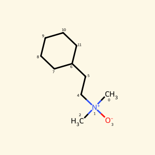 C[N+](C)([O-])CCC1CCCCC1